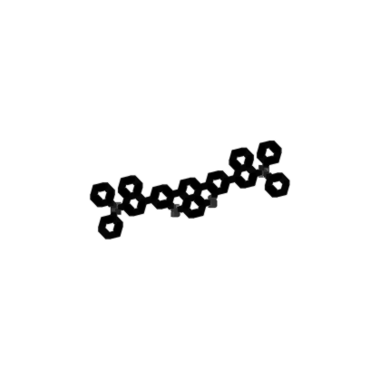 C1=CC(N(c2ccccc2)c2ccc(-c3ccc4c(c3)Sc3ccc5c6c(ccc-4c36)-c3ccc(-c4ccc(N(C6=CCCC=C6)c6ccccc6)c6ccccc46)cc3S5)c3ccccc23)=CCC1